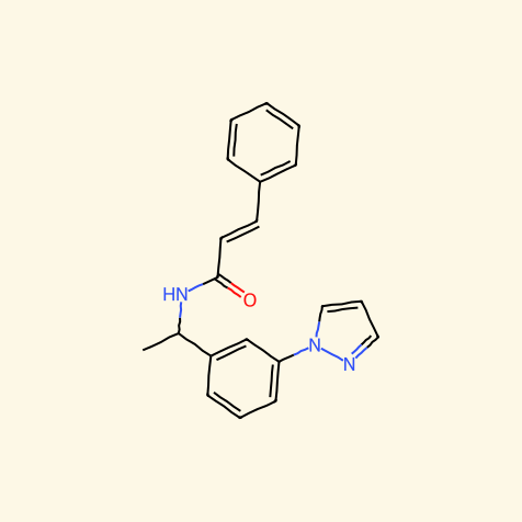 CC(NC(=O)C=Cc1ccccc1)c1cccc(-n2cccn2)c1